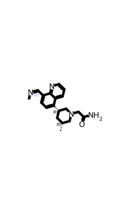 C/N=C\c1ccc([C@H]2C[C@@H](C)CN(CC(N)=O)C2)c2cccnc12